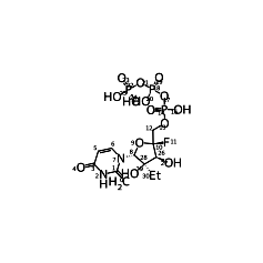 C=C1NC(=O)C=CN1[C@@H]1O[C@](F)(COP(=O)(O)OP(=O)(O)OP(=O)(O)O)[C@@H](O)[C@]1(O)CC